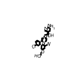 N#Cc1cc(OCCO)ccc1N1CCN(C[C@@H](O)c2ccc(N)nc2)C[C@H]1c1ccc(Cl)cc1